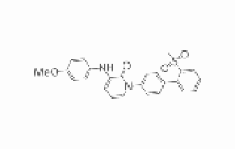 COc1ccc(Nc2cccn(-c3ccc(-c4ccccc4S(C)(=O)=O)cc3)c2=O)cc1